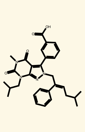 CC(C)CC=C(Cn1nc2c(c1-c1cccc(C(=O)O)c1)c(=O)n(C)c(=O)n2CC(C)C)c1ccccc1